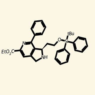 CCOC(=O)c1cc2c(c(-c3ccccc3)n1)[C@@H](CCO[Si](c1ccccc1)(c1ccccc1)C(C)(C)C)NC2